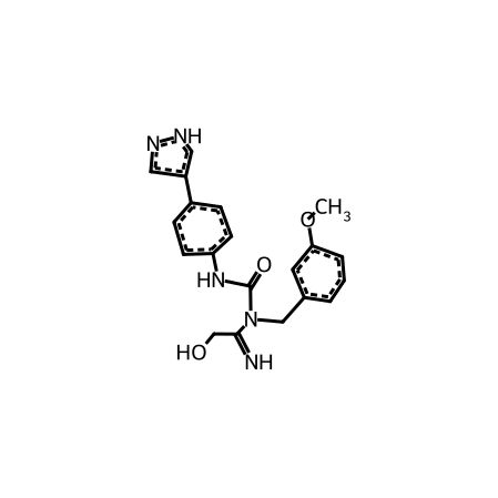 COc1cccc(CN(C(=N)CO)C(=O)Nc2ccc(-c3cn[nH]c3)cc2)c1